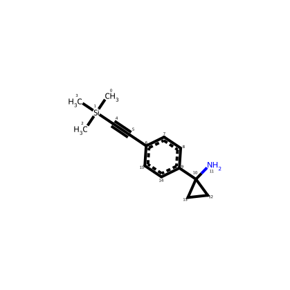 C[Si](C)(C)C#Cc1ccc(C2(N)CC2)cc1